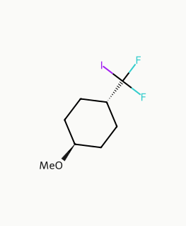 CO[C@H]1CC[C@H](C(F)(F)I)CC1